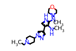 CCN1CCC(n2cc(-c3c[nH]c(N(C)N4CCOCC4)c3NC)cn2)CC1